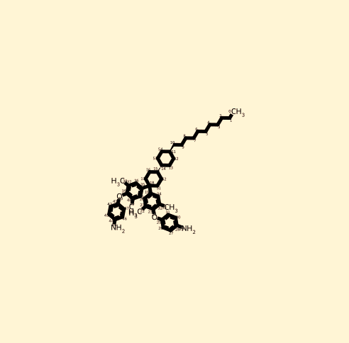 CCCCCCCCCCC[C@H]1CC[C@H](C2CCC(c3cc(C)c(Oc4ccc(N)cc4)c(C)c3)(c3cc(C)c(Oc4ccc(N)cc4)c(C)c3)CC2)CC1